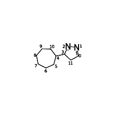 C1=N[N]C(C2CCCCCC2)C1